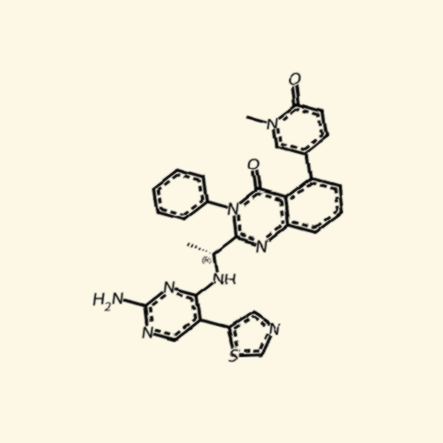 C[C@@H](Nc1nc(N)ncc1-c1cncs1)c1nc2cccc(-c3ccc(=O)n(C)c3)c2c(=O)n1-c1ccccc1